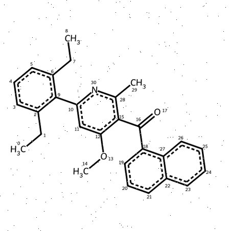 CCc1cccc(CC)c1-c1cc(OC)c(C(=O)c2cccc3ccccc23)c(C)n1